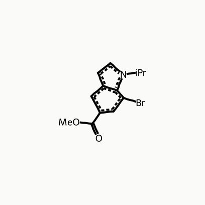 COC(=O)c1cc(Br)c2c(ccn2C(C)C)c1